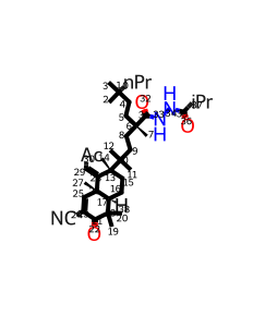 CCCC(C)(C)CC[C@@](C)(CCC(C)(C)[C@]1(C)CC[C@H]2C(C)(C)C(=O)C(C#N)=C[C@]2(C)/C1=C/C(C)=O)C(=O)NNC(=O)C(C)C